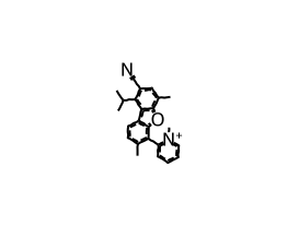 Cc1ccc2c(oc3c(C)cc(C#N)c(C(C)C)c32)c1-c1cccc[n+]1C